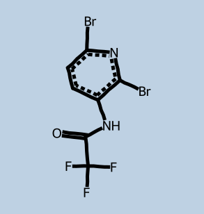 O=C(Nc1ccc(Br)nc1Br)C(F)(F)F